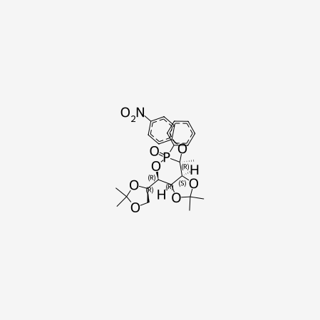 CC1(C)OC[C@H]([C@H]2OP(=O)(c3ccccc3)[C@@](C)(Oc3ccc([N+](=O)[O-])cc3)[C@H]3OC(C)(C)O[C@@H]23)O1